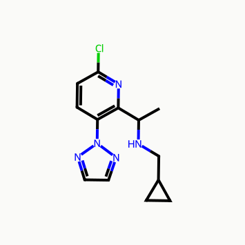 CC(NCC1CC1)c1nc(Cl)ccc1-n1nccn1